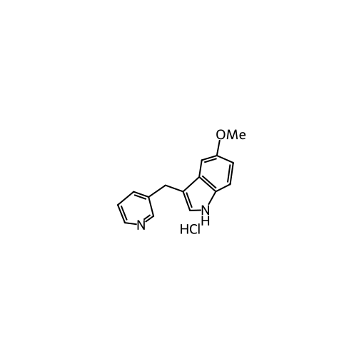 COc1ccc2[nH]cc(Cc3cccnc3)c2c1.Cl